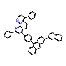 c1ccc(-c2cc(-c3ccc(-c4c5ccccc5cc5cc(-c6ccc7ccccc7c6)ccc45)cc3)c3ccc4c(-c5ccccc5)ccnc4c3n2)cc1